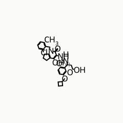 Cc1cccc(Cl)c1Cn1c2c(c(O)c(NC(=O)N[C@@H](CC(=O)O)c3cccc(OC4CCC4)c3)c1=O)CCC2